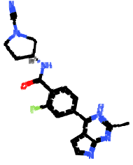 Cc1nc2nccc-2c(-c2ccc(C(=O)N[C@@H]3CCN(C#N)C3)c(F)c2)[nH]1